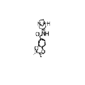 C[C@@H]1Oc2ccc(C(=O)N[C@@H]3C[C@@H]4CCN(C4)C3)cc2O[C@H]1C